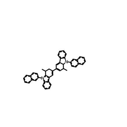 CC1CC(C2=CC(C)C3C(=C2)c2ccccc2N3c2ccc3ccccc3c2)=Cc2c1n(-c1ccc3ccccc3c1)c1ccccc21